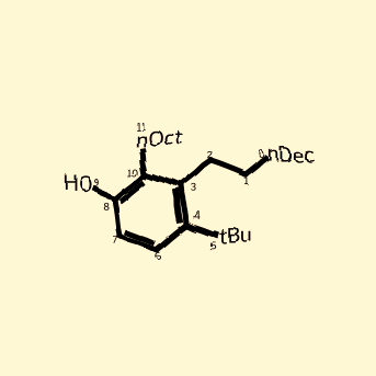 CCCCCCCCCCCCc1c(C(C)(C)C)ccc(O)c1CCCCCCCC